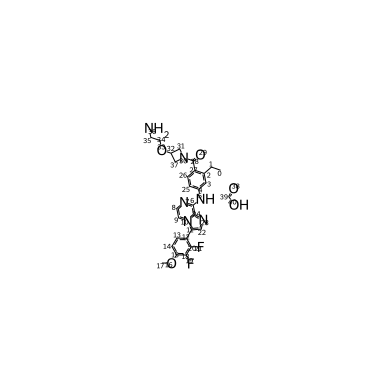 CCc1cc(Nc2nccn3c(-c4ccc(OC)c(F)c4F)cnc23)ccc1C(=O)N1CC(OCCN)C1.O=CO